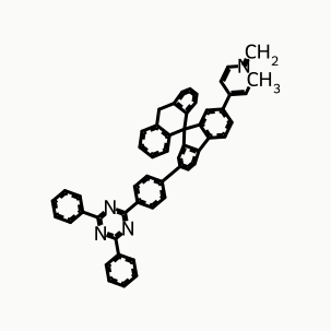 C=N/C=C\C(=C/C)c1ccc2c(c1)C1(c3ccccc3Cc3ccccc31)c1cc(-c3ccc(-c4nc(-c5ccccc5)nc(-c5ccccc5)n4)cc3)ccc1-2